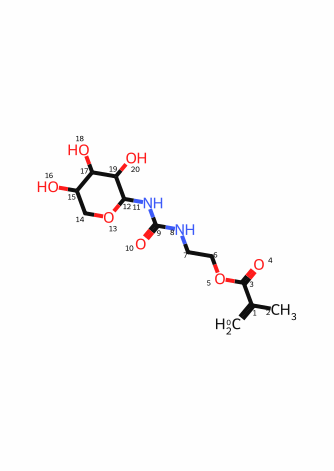 C=C(C)C(=O)OCCNC(=O)NC1OCC(O)C(O)C1O